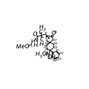 COCCNC(=O)C(C)(C)CN1CC2(CCC(c3ccccc3)(N(C)C)CC2)CC1=O